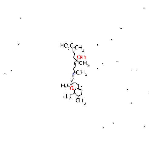 C/C(=C\CCC1(C)CCC2=CCC(C)C(C)C2O1)CCCC(C)(O)CCCC(C)C(=O)O